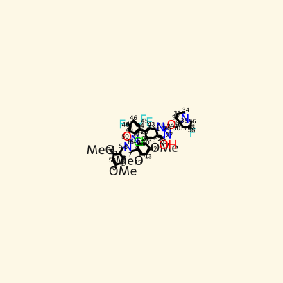 COc1ccc(CN(Cc2ccc(OC)cc2OC)c2nc3c(-c4c(Cl)cc5c(O)nc(OC[C@@]67CCCN6C[C@H](F)C7)nc5c4F)c(F)cc(F)c3o2)c(OC)c1